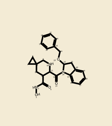 O=C(NO)C1CC2(CC2)CNC1C(=O)N1c2ccccc2CC1OCc1ccccc1